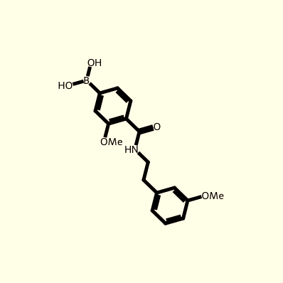 COc1cccc(CCNC(=O)c2ccc(B(O)O)cc2OC)c1